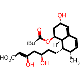 CC[C@H](C)C(=O)O[C@H]1C[C@H](O)C=C2C=C[C@H](C)[C@H](CC[C@@H](O)C/C(O)=C/C(=O)O)[C@H]21